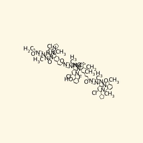 C=CC(=O)N1CCN(c2nc(=O)n(-c3cc(/C=C\C(=O)N4CCN(c5nc(=O)n(C(/C=C(\C)C=CC(=O)N6CCN(c7nc(=O)n(-c8c(CC)cccc8CC)c8nc(C9CCCC9)c(Cl)cc78)[C@@H](C)C6)=C(/C=C)C6(C)CC6)c6nc(-c7c(O)cccc7F)c(Cl)cc56)[C@@H](C)C4)ccc3C(C)C)c3nc(N4CCCC4)c(Cl)cc23)[C@@H](C)C1